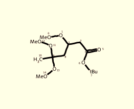 COOC(CC(=O)OC(C)(C)C)CC(C)(OOC)OOC